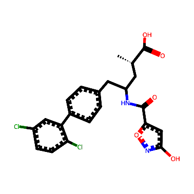 C[C@@H](CC(Cc1ccc(-c2cc(Cl)ccc2Cl)cc1)NC(=O)c1cc(O)no1)C(=O)O